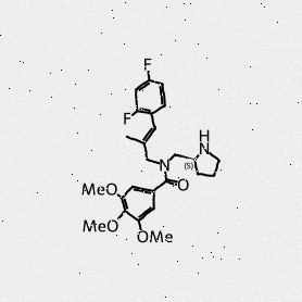 COc1cc(C(=O)N(CC(C)=Cc2ccc(F)cc2F)C[C@@H]2CCCN2)cc(OC)c1OC